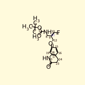 CC(C)(C)OC(=O)NC/C(=C/F)COc1ccc2c(c1)NC(=O)CC2